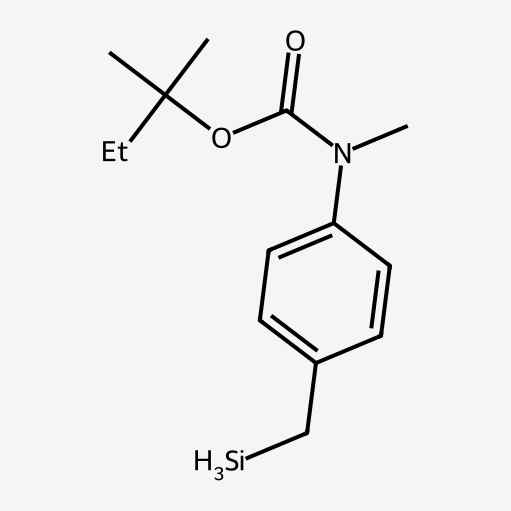 CCC(C)(C)OC(=O)N(C)c1ccc(C[SiH3])cc1